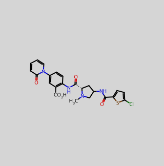 CN1CC(NC(=O)c2ccc(Cl)s2)C[C@H]1C(=O)Nc1ccc(-n2ccccc2=O)cc1C(=O)O